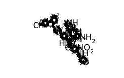 CC1(C)CCC(CN2CCN(c3ccc(C(=O)NS(=O)(=O)c4ccc(NCC5CCOCC5)c([N+](=O)[O-])c4)c(N4C[C@@H]5C[C@](C)(N)C[C@@H]5Oc5nc6[nH]ccc6cc54)c3)CC2)=C(c2ccc(Cl)cc2)C1